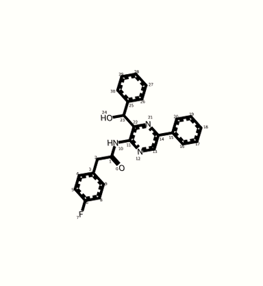 O=C(Cc1ccc(F)cc1)Nc1ncc(-c2ccccc2)nc1C(O)c1ccccc1